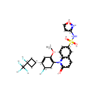 COC1=C(n2c(=O)ccc3cc(S(=O)(=O)Nc4ccon4)ccc32)CC(F)C([C@H]2C[C@@](F)(C(F)(F)F)C2)=C1